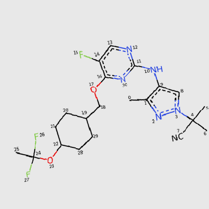 Cc1nn(C(C)(C)C#N)cc1Nc1ncc(F)c(OCC2CCC(OC(C)(F)F)CC2)n1